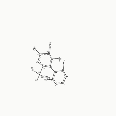 CCn1c(-c2c(F)cccc2F)c(C(C)(CC)OC)cc(Cl)c1=O